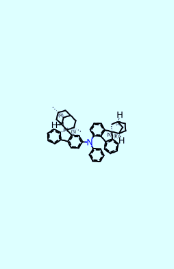 C[C@@H]1CC2C[C@@H](C1)[C@@]1(c3ccccc3-c3ccc(N(c4ccccc4)c4cccc5c4-c4ccccc4[C@@]54C[C@H]5CC[C@@H]4C5)cc31)[C@@H](C)C2